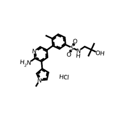 Cc1ccc(S(=O)(=O)NCC(C)(C)O)cc1-c1cnc(N)c(-c2ccn(C)c2)c1.Cl